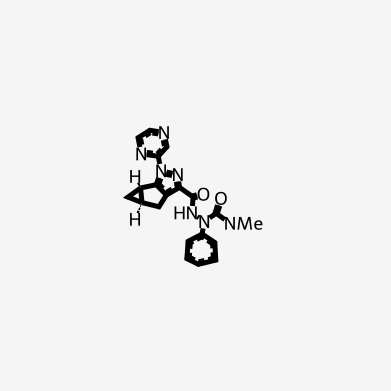 CNC(=O)N(NC(=O)c1nn(-c2cnccn2)c2c1C[C@H]1C[C@@H]21)c1ccccc1